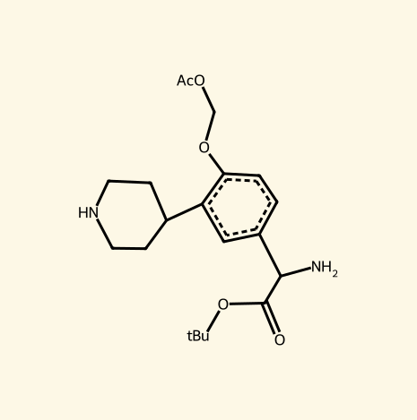 CC(=O)OCOc1ccc(C(N)C(=O)OC(C)(C)C)cc1C1CCNCC1